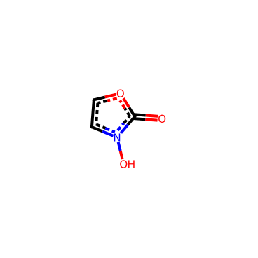 O=c1occn1O